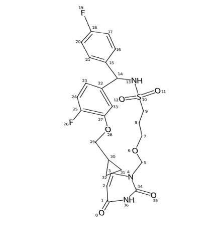 O=c1ccn(COCCCS(=O)(=O)NC(c2ccc(F)cc2)c2ccc(F)c(OCC3CC3)c2)c(=O)[nH]1